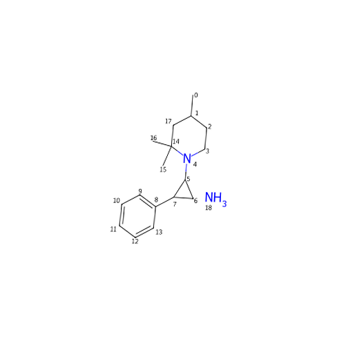 CC1CCN(C2CC2c2ccccc2)C(C)(C)C1.N